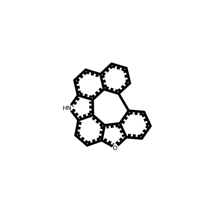 c1cc2c3c(c1)ccc1[nH]c4ccc5oc6cccc-2c6c5c4c13